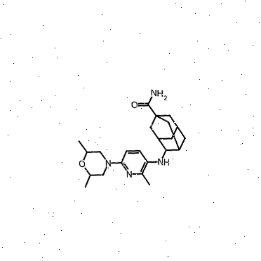 Cc1nc(N2CC(C)OC(C)C2)ccc1NC1C2CC3CC1CC(C(N)=O)(C3)C2